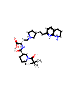 CC(C)(C)C(=O)N1CCC[C@@H](C(=O)N[C@@H](CCN2CC[C@@H](CCc3ccc4c(n3)NCCC4)C2)C(=O)O)C1